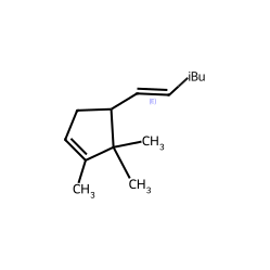 C[CH]C(C)/C=C/C1CC=C(C)C1(C)C